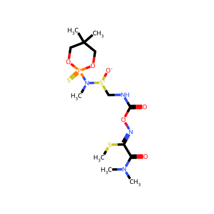 CSC(=NOC(=O)NC[S+]([O-])N(C)P1(=S)OCC(C)(C)CO1)C(=O)N(C)C